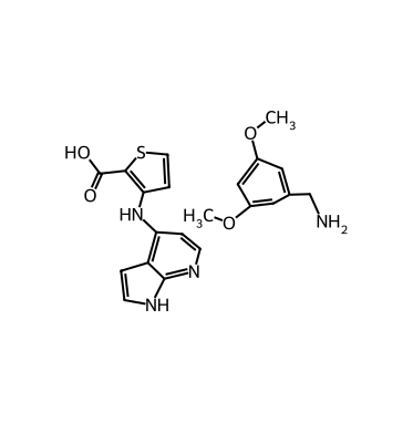 COc1cc(CN)cc(OC)c1.O=C(O)c1sccc1Nc1ccnc2[nH]ccc12